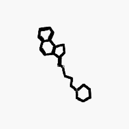 c1ccc2c3c(ccc2c1)C(=NOCCCN1CCCCC1)CC3